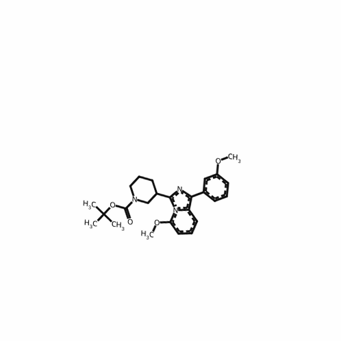 COc1cccc(-c2nc(C3CCCN(C(=O)OC(C)(C)C)C3)n3c(OC)cccc23)c1